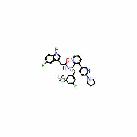 C[C@@]1(F)C=C(F)C=C(C[C@H](NC(=O)Cc2c[nH]c3ccc(F)cc23)c2ncccc2-c2ccc(N3CCCC3)nc2)C1